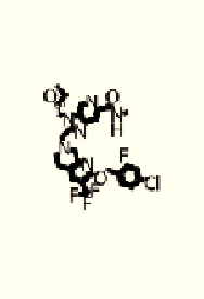 CNC(=O)c1cc2nc(CN3CCc4cc(C(F)(F)F)c(OCc5ccc(Cl)cc5F)nc4C3)n(C[C@@H]3CCO3)c2cn1